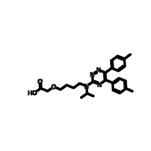 Cc1ccc(-c2nnc(N(CCCCOCC(=O)O)C(C)C)nc2-c2ccc(C)cc2)cc1